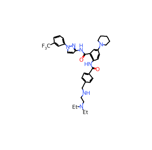 CCN(CC)CCNCc1ccc(C(=O)Nc2ccc(N3CCCCC3)cc2C(=O)Nc2ccn(-c3cccc(C(F)(F)F)c3)n2)cc1